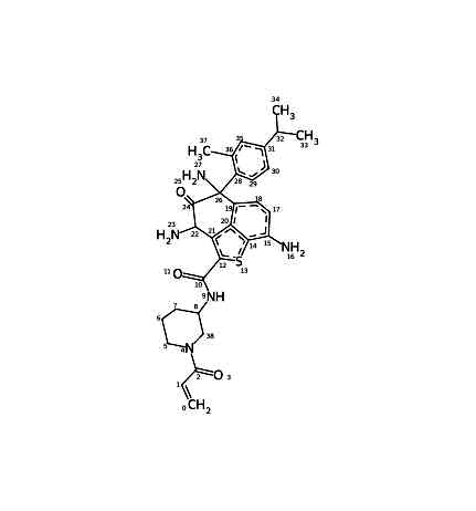 C=CC(=O)N1CCCC(NC(=O)c2sc3c(N)ccc4c3c2C(N)C(=O)C4(N)c2ccc(C(C)C)cc2C)C1